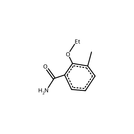 CCOc1c(C)cccc1C(N)=O